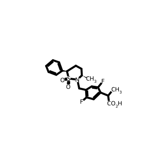 CC(C(=O)O)c1cc(F)c(CN2[C@@H](C)CC[C@H](c3ccccc3)S2(=O)=O)cc1F